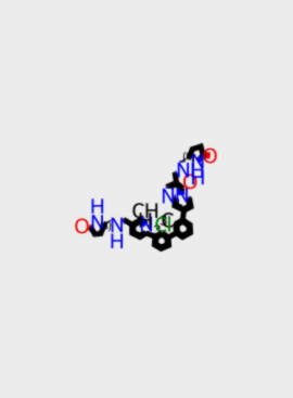 Cc1nc(-c2cccc(-c3cccc(-c4ccn5c(=O)c(CNC[C@@H]6CCC(=O)N6)cnc5c4)c3C)c2Cl)ccc1CNC[C@@H]1CCC(=O)N1